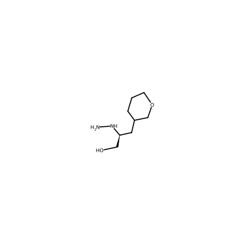 NN[C@H](CO)CC1CCCOC1